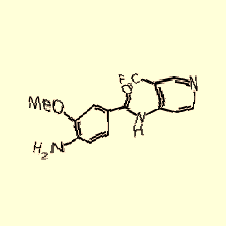 COc1cc(C(=O)Nc2ccncc2C(F)(F)F)ccc1N